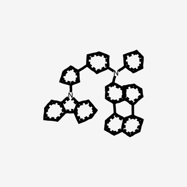 c1ccc(-c2cccc3cccc(-c4ccc(N(c5ccccc5)c5cccc(-c6cccc(-n7c8ccccc8c8ccccc87)c6)c5)cc4)c23)cc1